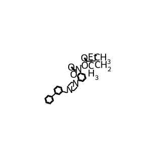 C=C(C)C(C)(CC)C(=O)OCn1c(=O)oc2c(N3CCN(Cc4cccc(-c5ccccc5)c4)CC3)cccc21